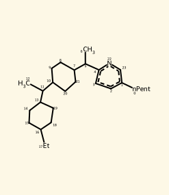 CCCCCc1ccc(C(C)C2CCC(C(C)C3CCC(CC)CC3)CC2)nc1